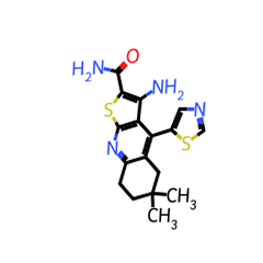 CC1(C)CCc2nc3sc(C(N)=O)c(N)c3c(-c3cncs3)c2C1